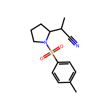 Cc1ccc(S(=O)(=O)N2CCCC2C(C)C#N)cc1